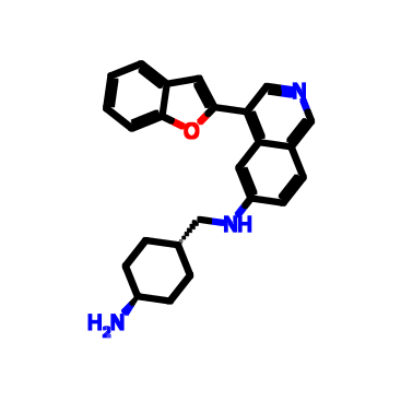 N[C@H]1CC[C@H](CNc2ccc3cncc(-c4cc5ccccc5o4)c3c2)CC1